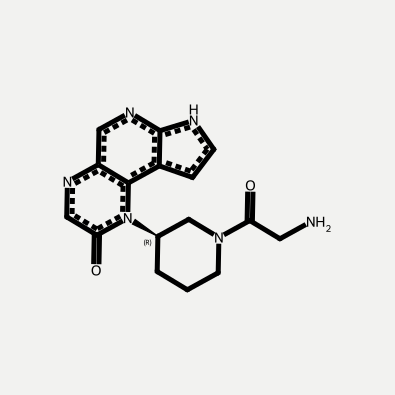 NCC(=O)N1CCC[C@@H](n2c(=O)cnc3cnc4[nH]ccc4c32)C1